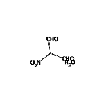 O.O=CC(C=O)[N+](=O)[O-]